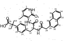 Cc1cc[nH]c(=O)c1NC(=O)C(Cc1ccc(C(C)(C)C(=O)O)cc1)NC(=O)Cc1ccc2ccccc2c1